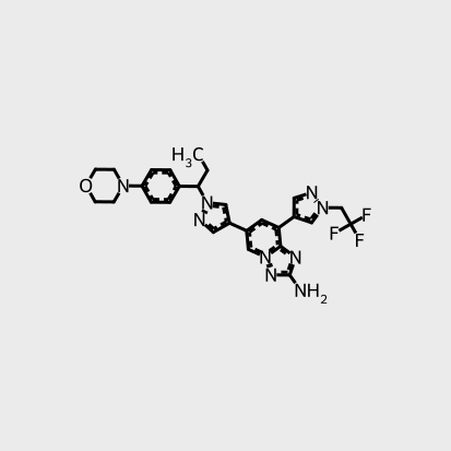 CCC(c1ccc(N2CCOCC2)cc1)n1cc(-c2cc(-c3cnn(CC(F)(F)F)c3)c3nc(N)nn3c2)cn1